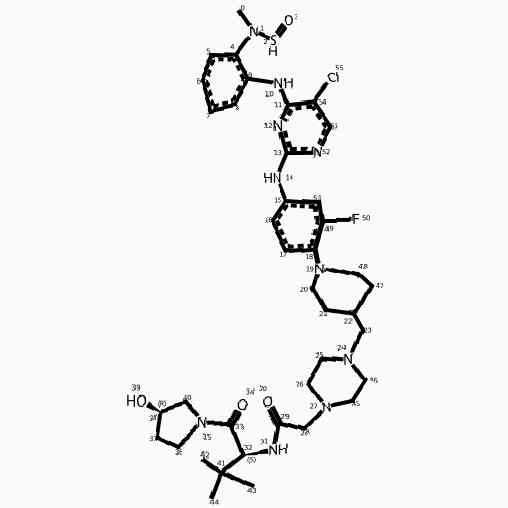 CN([SH]=O)c1ccccc1Nc1nc(Nc2ccc(N3CCC(CN4CCN(CC(=O)N[C@H](C(=O)N5CC[C@@H](O)C5)C(C)(C)C)CC4)CC3)c(F)c2)ncc1Cl